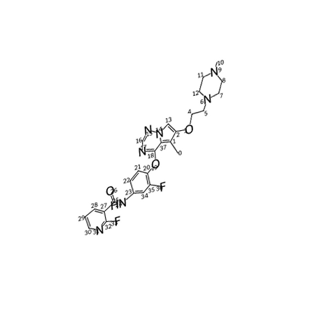 Cc1c(OCCN2CCN(C)CC2)cn2ncnc(Oc3ccc(NC(=O)c4cccnc4F)cc3F)c12